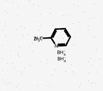 Cc1ccccn1.[BH4-].[BH4-].[Zn+2]